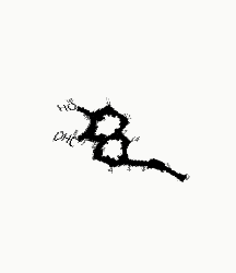 CC#Cc1ccc2c(C=O)c(O)ccc2c1